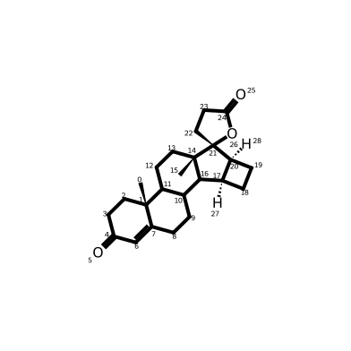 C[C@]12CCC(=O)C=C1CCC1C2CC[C@@]2(C)C1[C@@H]1CC[C@@H]1[C@]21CCC(=O)O1